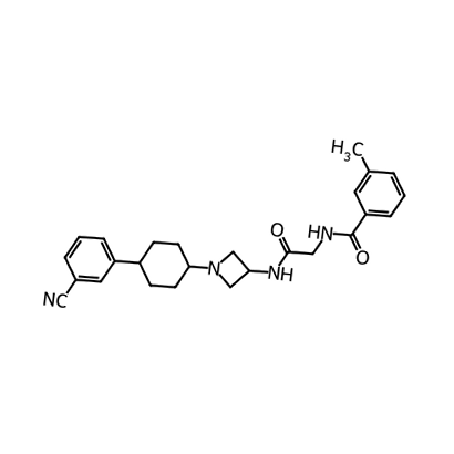 Cc1cccc(C(=O)NCC(=O)NC2CN(C3CCC(c4cccc(C#N)c4)CC3)C2)c1